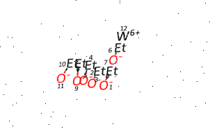 CC[O-].CC[O-].CC[O-].CC[O-].CC[O-].CC[O-].[W+6]